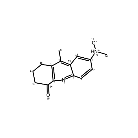 Cc1c2c(nc3ccc([NH+](C)[O-])cc13)C(=O)CCC2